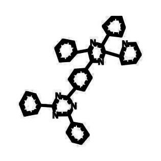 c1ccc(-c2nc(-c3ccccc3)nc(-c3ccc(-c4nc(-c5ccccn5)c(-c5ccccc5)nc4-c4ccccc4)cc3)n2)cc1